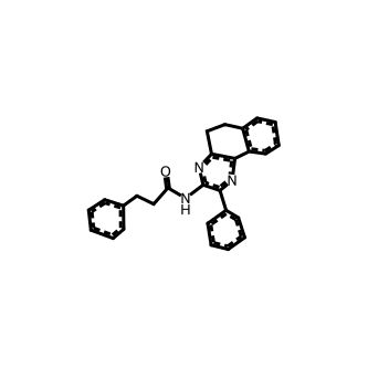 O=C(CCc1ccccc1)Nc1nc2c(nc1-c1ccccc1)-c1ccccc1CC2